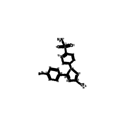 NS(=O)(=O)c1ccc(-n2nc(C(F)(F)F)nc2-c2ccc(Br)cc2)cn1